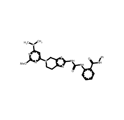 COc1nc(N(C)C)cc(N2CCc3nc(NC(=O)Nc4ccccc4C(=O)NC(C)C)sc3C2)n1